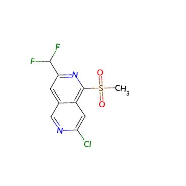 CS(=O)(=O)c1nc(C(F)F)cc2cnc(Cl)cc12